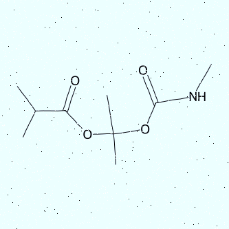 CNC(=O)OC(C)(C)OC(=O)C(C)C